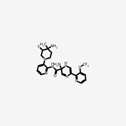 CC1(N)CCN(c2cccnc2NC(=O)C2(N)C=NC(c3ncccc3OC(F)(F)F)=CN2)CC1F